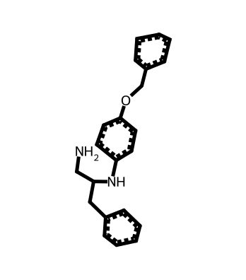 NCC(Cc1ccccc1)Nc1ccc(OCc2ccccc2)cc1